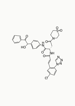 O=C(/C=C/c1cc(Cl)ccc1-n1cnnn1)N[C@@H](CC(=O)N1CCS(=O)(=O)CC1)C(=O)Nc1ccc(C(O)C(=O)c2ccccc2)cc1